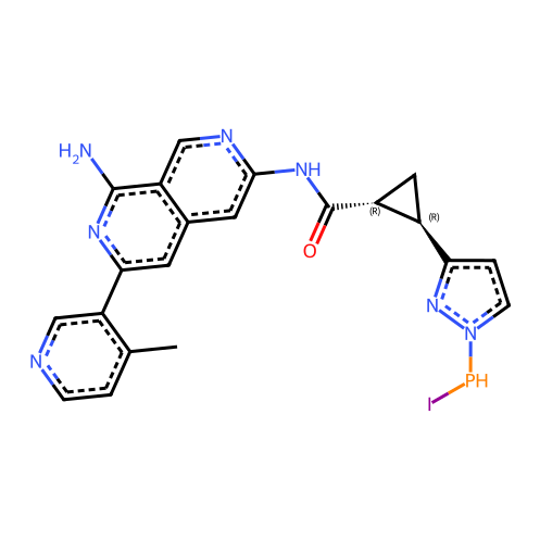 Cc1ccncc1-c1cc2cc(NC(=O)[C@@H]3C[C@H]3c3ccn(PI)n3)ncc2c(N)n1